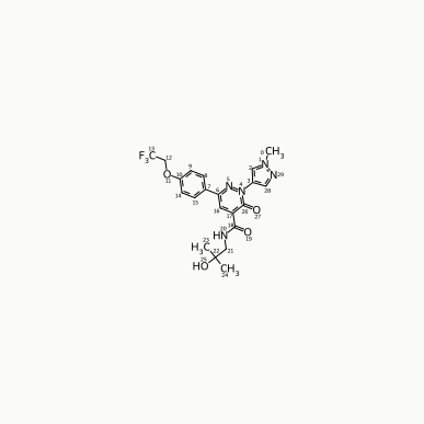 Cn1cc(-n2nc(-c3ccc(OCC(F)(F)F)cc3)cc(C(=O)NCC(C)(C)O)c2=O)cn1